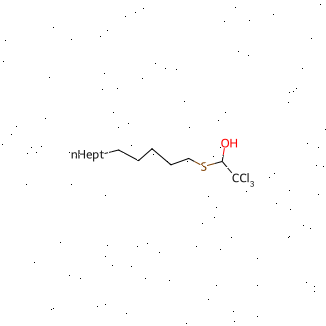 CCCCCCCCCCCCSC(O)C(Cl)(Cl)Cl